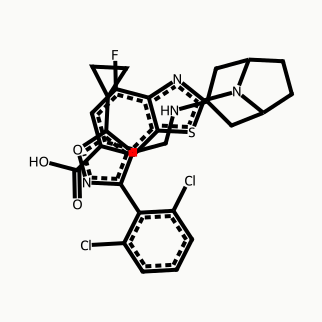 O=C(O)c1cc(F)c2nc(N3C4CCC3CC(NCc3c(-c5c(Cl)cccc5Cl)noc3C3CC3)C4)sc2c1